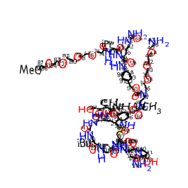 CC[C@H](C)[C@@H]1NC(=O)CNC(=O)[C@H](NC(=O)[C@@H](NC(C)=O)[C@@H](C)[C@@H](O)CO)Cc2c([nH]c3cc(OC(=O)N(C)CCN(CCOCCOCCOCCN)C(=O)OCc4ccc(NC(=O)[C@H](CCCNC(N)=O)NC(=O)[C@@H](NC(=O)CCOCCOCCOCCOCCOC)C(C)C)cc4)ccc23)[S+]([O-])C[C@@H](C(=O)N[C@@H](CC(N)=O)C(=O)N2CC[C@@H](O)C2)NC(=O)CNC1=O